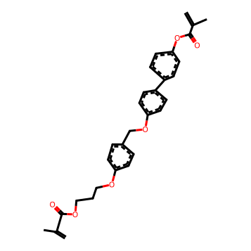 C=C(C)C(=O)OCCCOc1ccc(COc2ccc(-c3ccc(OC(=O)C(=C)C)cc3)cc2)cc1